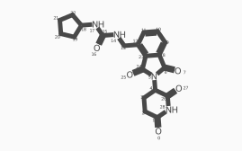 O=C1CCC(N2C(=O)c3cccc(CNC(=O)NC4CCCC4)c3C2=O)C(=O)N1